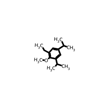 CCc1cc(C(C)C)cc(C(C)C)c1OC